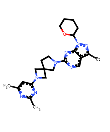 CCc1nn(C2CCCCO2)c2nc(N3CCC4(CN(c5cc(C(F)(F)F)nc(C)n5)C4)C3)ncc12